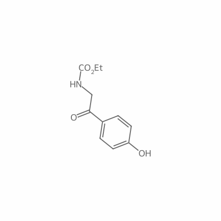 CCOC(=O)NCC(=O)c1ccc(O)cc1